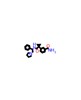 NC(=O)c1cccc(C2(C(=O)NC(CN3CCCC3)c3ccccc3)CC2)c1